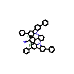 N#Cc1c(F)cc(-c2c(-n3c4ccc(-c5ccccc5)cc4c4ccc(-c5ccccc5)cc43)cccc2-n2c3ccc(-c4ccccc4)cc3c3ccc(-c4ccccc4)cc32)cc1F